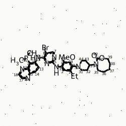 CCc1cc(Nc2ncc(Br)c(Nc3ccc4nccnc4c3P(C)C)n2)c(OC)cc1N1CCC(N2CCCCCOC2=O)CC1